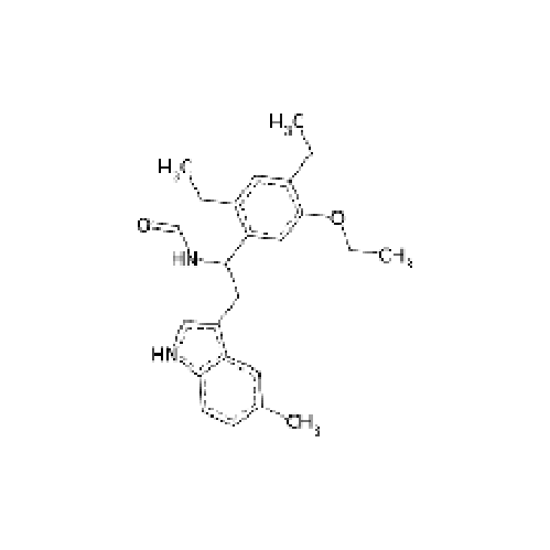 CCOc1cc(C(Cc2c[nH]c3ccc(C)cc23)NC=O)c(CC)cc1CC